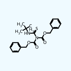 CC(C)(C)NC(=S)N(C(=O)OCc1ccccc1)C(=O)OCc1ccccc1